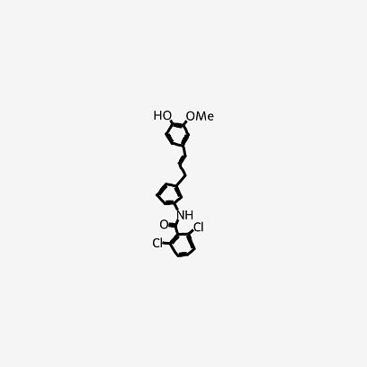 COc1cc(/C=C/Cc2cccc(NC(=O)c3c(Cl)cccc3Cl)c2)ccc1O